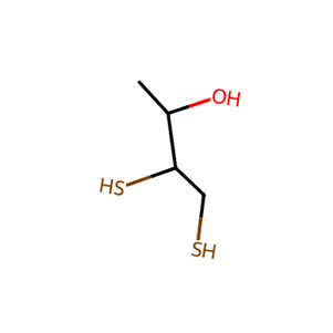 CC(O)C(S)CS